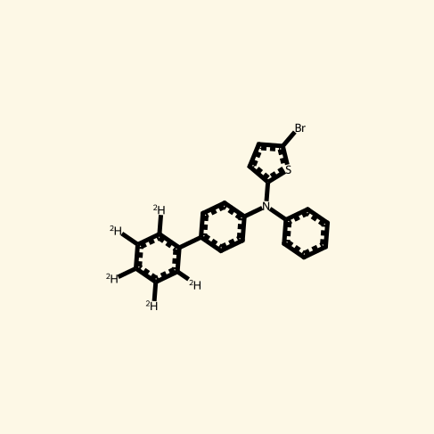 [2H]c1c([2H])c([2H])c(-c2ccc(N(c3ccccc3)c3ccc(Br)s3)cc2)c([2H])c1[2H]